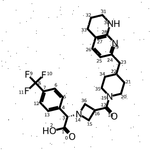 O=C(O)[C@H](c1ccc(C(F)(F)F)cc1)N1CC(C(=O)N2CCC(Cc3ccc4c(n3)NCCC4)CC2)C1